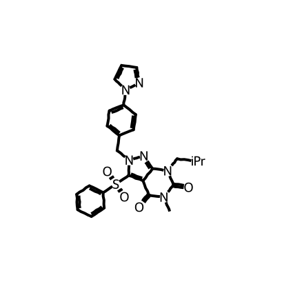 CC(C)Cn1c(=O)n(C)c(=O)c2c(S(=O)(=O)c3ccccc3)n(Cc3ccc(-n4cccn4)cc3)nc21